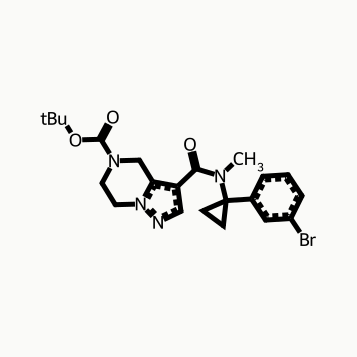 CN(C(=O)c1cnn2c1CN(C(=O)OC(C)(C)C)CC2)C1(c2cccc(Br)c2)CC1